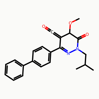 COC1C(=O)N(CC(C)C)N=C(c2ccc(-c3ccccc3)cc2)C1=C=O